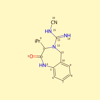 CC(C)C1C(=O)Nc2ccccc2CN1C(=N)NC#N